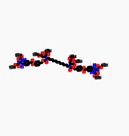 CC(C)(C)OC(=O)CC(C(=O)OC(C)(C)C)N(CCCCCCCCCCCCN(C(=O)OCc1ccc(OC(=O)c2ccc(N/C(=N\C(=O)OC(C)(C)C)NC(=O)OC(C)(C)C)cc2)cc1)C(CC(=O)OC(C)(C)C)C(=O)OC(C)(C)C)C(=O)OCc1ccc(OC(=O)c2ccc(N/C(=N\C(=O)OC(C)(C)C)NC(=O)OC(C)(C)C)cc2)cc1